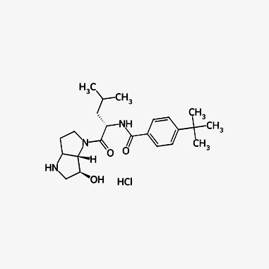 CC(C)C[C@H](NC(=O)c1ccc(C(C)(C)C)cc1)C(=O)N1CCC2NC[C@H](O)[C@H]21.Cl